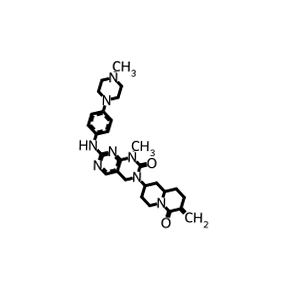 C=C1CCC2CC(N3Cc4cnc(Nc5ccc(N6CCN(C)CC6)cc5)nc4N(C)C3=O)CCN2C1=O